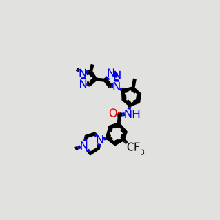 Cc1ccc(NC(=O)c2cc(N3CCN(C)CC3)cc(C(F)(F)F)c2)cc1-n1cc(-c2cnn(C)c2C)nn1